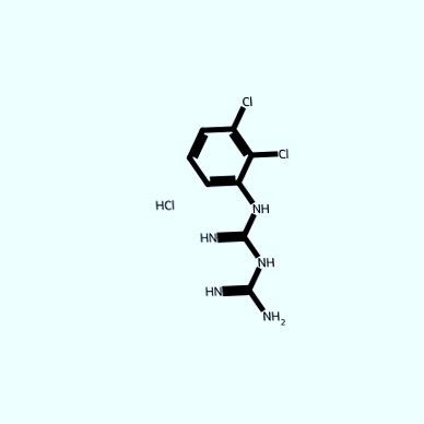 Cl.N=C(N)NC(=N)Nc1cccc(Cl)c1Cl